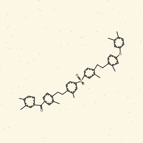 Cc1ccc(Oc2ccc(CCc3ccc(S(=O)(=O)c4ccc(CCc5ccc(C(=O)c6ccc(C)c(C)c6)cc5C)c(C)c4)cc3C)c(C)c2)cc1C